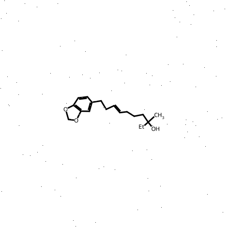 CCC(C)(O)CCC/C=C/CCc1ccc2c(c1)OCO2